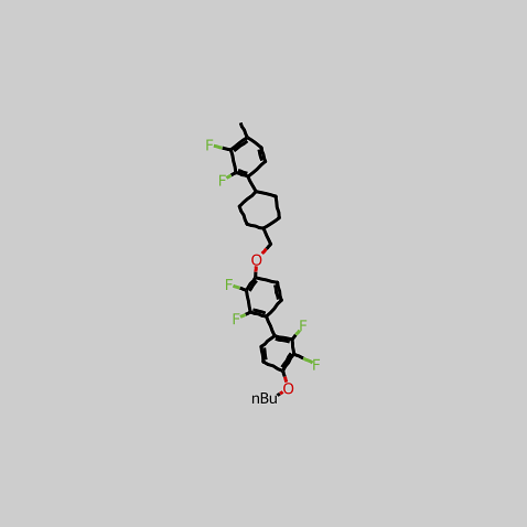 CCCCOc1ccc(-c2ccc(OCC3CCC(c4ccc(C)c(F)c4F)CC3)c(F)c2F)c(F)c1F